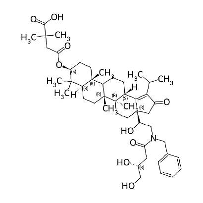 CC(C)C1=C2[C@H]3CCC4[C@@]5(C)CC[C@H](OC(=O)CC(C)(C)C(=O)O)C(C)(C)[C@@H]5CC[C@@]4(C)[C@]3(C)CC[C@@]2(C(O)CN(Cc2ccccc2)C(=O)C[C@@H](O)CO)CC1=O